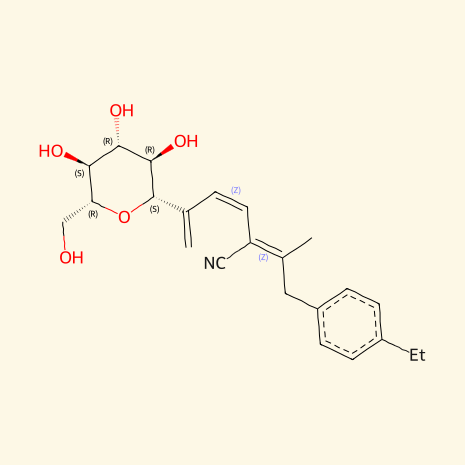 C=C(/C=C\C(C#N)=C(/C)Cc1ccc(CC)cc1)[C@@H]1O[C@H](CO)[C@@H](O)[C@H](O)[C@H]1O